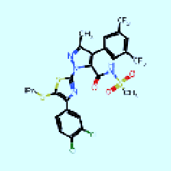 Cc1nn(-c2nc(-c3ccc(Cl)c(Cl)c3)c(SC(C)C)s2)c(C(=O)NS(C)(=O)=O)c1-c1cc(C(F)(F)F)cc(C(F)(F)F)c1